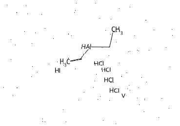 C[CH2][AlH][CH2]C.Cl.Cl.Cl.Cl.I.[V]